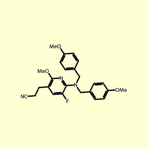 COc1ccc(CN(Cc2ccc(OC)cc2)c2nc(OC)c(CCC#N)cc2F)cc1